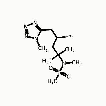 CCCC(Cc1nnnn1C)CC(C)(C)N(C)S(C)(=O)=O